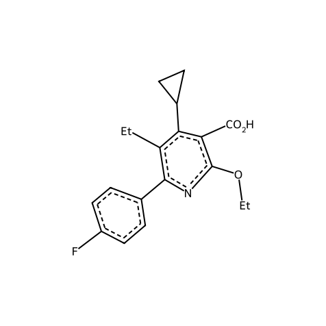 CCOc1nc(-c2ccc(F)cc2)c(CC)c(C2CC2)c1C(=O)O